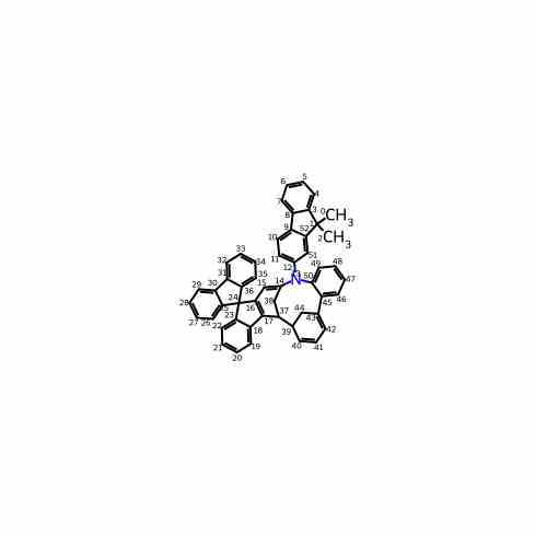 CC1(C)c2ccccc2-c2ccc(N3C4=CC5=C(c6ccccc6C56c5ccccc5-c5ccccc56)C(C4)C4C=CC=C(C4)c4ccccc43)cc21